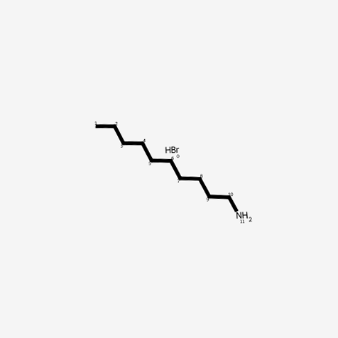 Br.CCCCCCCCCCN